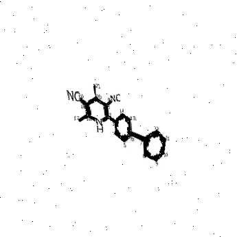 [C-]#[N+]C1=C(c2ccc(-c3ccccc3)cc2)NC(C)=C(C#N)[C@H]1C